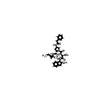 C=CC1C[C@]1(NC(=O)[C@@H]1C[C@@H](NC(=O)Cc2ccccc2)CN1C(=O)N[C@H](C(=O)NC1c2ccccc2C[C@H]1O)C(C)(C)C)C(=O)O